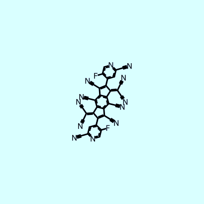 N#CC(C#N)=C1C(c2cc(C#N)ncc2F)=C(C#N)c2c(C#N)c3c(c(C#N)c21)C(C#N)=C(c1cc(C#N)ncc1F)C3=C(C#N)C#N